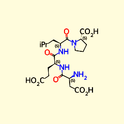 CC(C)C[C@H](NC(=O)[C@H](CCC(=O)O)NC(=O)[C@@H](N)CC(=O)O)C(=O)N1CCC[C@H]1C(=O)O